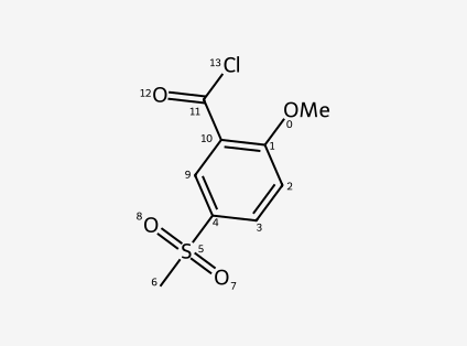 COc1ccc(S(C)(=O)=O)cc1C(=O)Cl